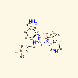 CS(=O)(=O)CCCn1c(CN2C(=O)C3(CC3)c3ccncc32)nc2cc(CN)ccc21